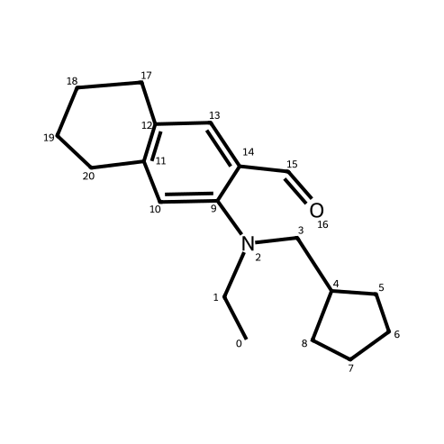 CCN(CC1CCCC1)c1cc2c(cc1C=O)CCCC2